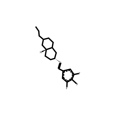 CCCC1CCC2C[C@H](C=Cc3cc(F)c(F)c(F)c3)CC[C@@H]2C1